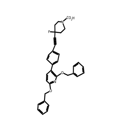 O=C(O)N1CCC(F)(C#Cc2ccc(-c3ccc(OCc4ccccc4)nc3OCc3ccccc3)cc2)CC1